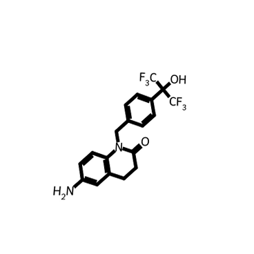 Nc1ccc2c(c1)CCC(=O)N2Cc1ccc(C(O)(C(F)(F)F)C(F)(F)F)cc1